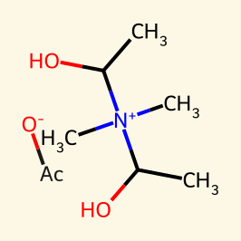 CC(=O)[O-].CC(O)[N+](C)(C)C(C)O